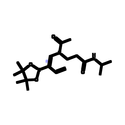 C=C/C(=C\N(CCC(=O)NC(C)C)C(C)=O)B1OC(C)(C)C(C)(C)O1